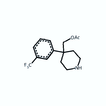 CC(=O)OCC1(c2cccc(C(F)(F)F)c2)CCNCC1